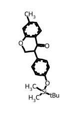 Cc1ccc2c(c1)OCC(c1ccc(O[Si](C)(C)C(C)(C)C)cc1)C2=O